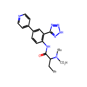 CC(C)CC(C(=O)Nc1ccc(-c2ccncc2)cc1-c1nn[nH]n1)N(C(=O)O)C(C)(C)C